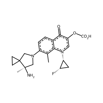 Cc1c(N2CC3(CC3)[C@](C)(N)C2)ccc2c(=O)c(OC(=O)O)cn([C@@H]3C[C@@H]3F)c12